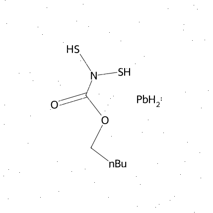 CCCCCOC(=O)N(S)S.[PbH2]